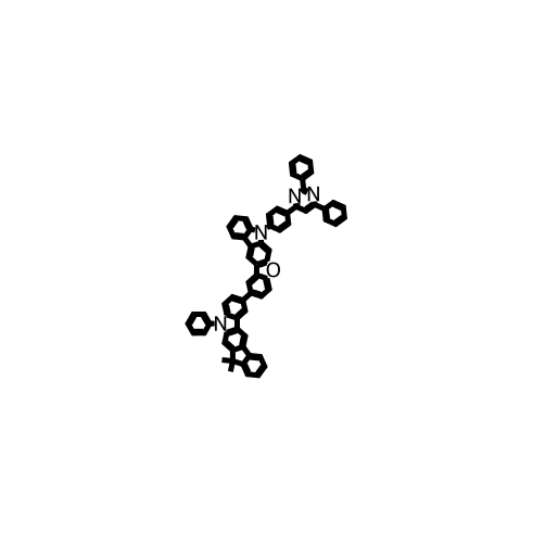 CC1(C)c2ccccc2-c2cc3c4cc(-c5ccc6oc7cc8c(cc7c6c5)c5ccccc5n8-c5ccc(-c6cc(-c7ccccc7)nc(-c7ccccc7)n6)cc5)ccc4n(-c4ccccc4)c3cc21